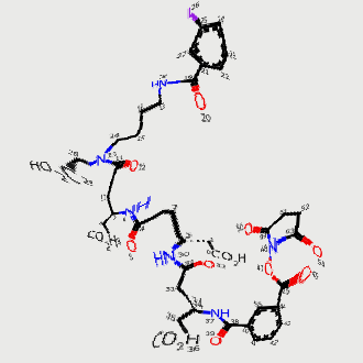 O=C(O)C[C@@H](CC(=O)N[C@@H](CC(=O)O)CC(=O)N(CCCCNC(=O)c1cccc(I)c1)CC(=O)O)NC(=O)C[C@H](CC(=O)O)NC(=O)c1cccc(C(=O)ON2C(=O)CCC2=O)c1